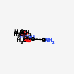 COC(=O)[C@H](CNC(=O)OC(C)(C)C)NC(=O)c1ccc(C#CC#Cc2ccc(N)cc2)cc1